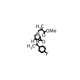 COC(=O)C(C)CN1C[C@@H]2CC1C(=O)N2[C@@H](C)c1ccc(F)cc1